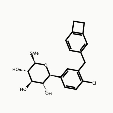 CS[C@H]1O[C@@H](c2ccc(Cl)c(Cc3ccc4c(c3)CC4)c2)[C@H](O)[C@@H](O)[C@@H]1O